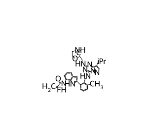 C=C(F)C(=O)Nc1cccc2cc(-c3cccc(C)c3CNc3nc(NCC4CNCCO4)nc4c(C(C)C)cnn34)[nH]c12